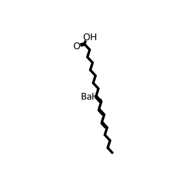 CCCCC=CC=CC=CCCCCCCCC(=O)O.[BaH2]